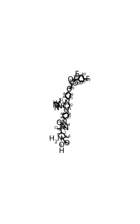 CC(CC(C)[C@H](N)C(=O)O)C(C)n1ncn(-c2ccc(N3CCN(c4ccc(OCC5COC(C)(c6ccc(F)cc6F)O5)cc4)CC3)cc2)c1=O.IC12CN1N=N2